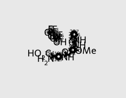 COc1cc(CC(=O)Nc2ccc(C(N)CC(=O)O)cc2)ccc1NC(=O)Nc1ccccc1C.O=C(O)C(F)(F)F.O=C(O)C(F)(F)F